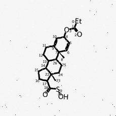 CCC(=O)OC1C=C[C@@]2(C)C(=C1)CCC1C3CCC(C(=O)SO)[C@@]3(C)CCC12